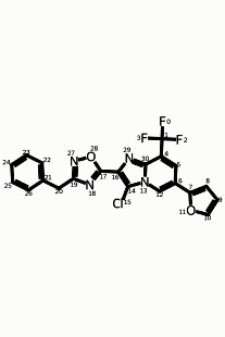 FC(F)(F)c1cc(-c2ccco2)cn2c(Cl)c(-c3nc(Cc4ccccc4)no3)nc12